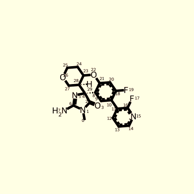 CN1C(=O)[C@]2(N=C1N)c1cc(-c3cccnc3F)c(F)cc1OC1CCOC[C@@H]12